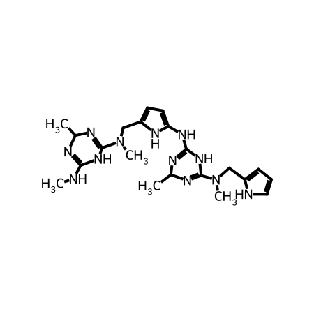 CNC1=NC(C)N=C(N(C)Cc2ccc(NC3=NC(C)N=C(N(C)Cc4ccc[nH]4)N3)[nH]2)N1